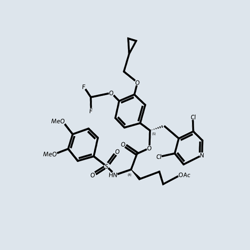 COc1ccc(S(=O)(=O)N[C@H](CCCOC(C)=O)C(=O)O[C@@H](Cc2c(Cl)cncc2Cl)c2ccc(OC(F)F)c(OCC3CC3)c2)cc1OC